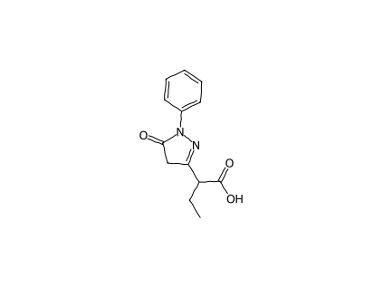 CCC(C(=O)O)C1=NN(c2ccccc2)C(=O)C1